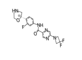 O=C(Nc1ccc([C@H]2CNCCO2)c(F)c1)c1cnc(N2CC(F)(F)C2)cn1